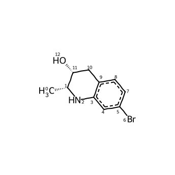 C[C@H]1Nc2cc(Br)ccc2C[C@H]1O